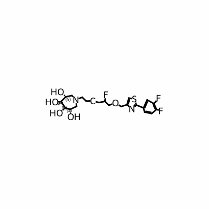 O[C@H]1[C@H](O)[C@@H](O)CN(CCCCC(F)COCc2csc(-c3ccc(F)c(F)c3)n2)C[C@@H]1O